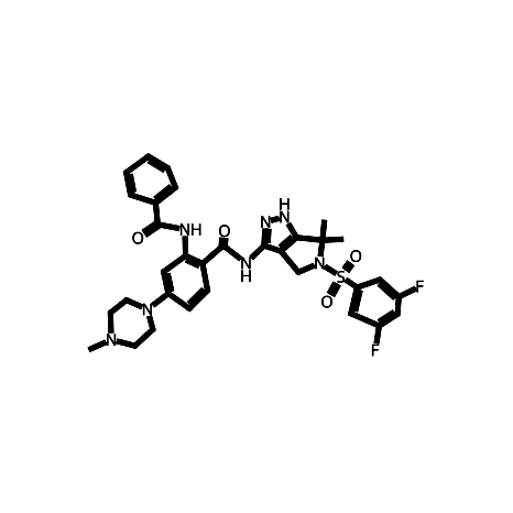 CN1CCN(c2ccc(C(=O)Nc3n[nH]c4c3CN(S(=O)(=O)c3cc(F)cc(F)c3)C4(C)C)c(NC(=O)c3ccccc3)c2)CC1